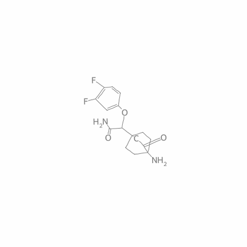 NC(=O)C(Oc1ccc(F)c(F)c1)C12CCC(N)(CC1)C(=O)C2